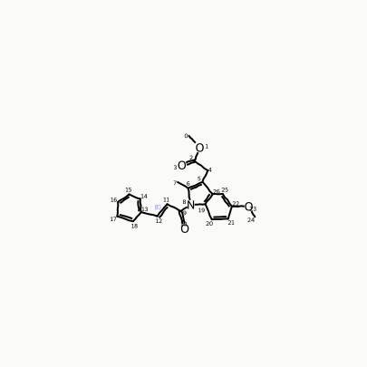 COC(=O)Cc1c(C)n(C(=O)/C=C/c2ccccc2)c2ccc(OC)cc12